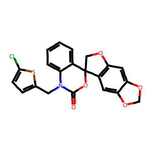 O=C1OC2(COc3cc4c(cc32)OCO4)c2ccccc2N1Cc1ccc(Cl)s1